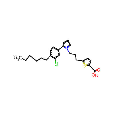 CCCCCCc1ccc(-c2cccn2CCCc2ccc(C(=O)O)s2)cc1Cl